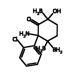 BC1(O)CCC(B)(B)C(N)(c2ccccc2Cl)C1=O